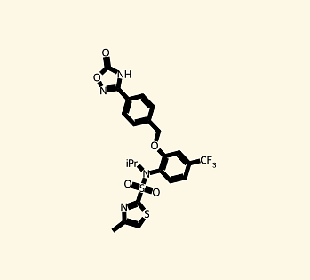 Cc1csc(S(=O)(=O)N(c2ccc(C(F)(F)F)cc2OCc2ccc(-c3noc(=O)[nH]3)cc2)C(C)C)n1